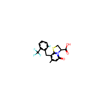 Cc1cc(=O)n2c(c1Cc1c(F)cccc1C(F)(F)F)SCC2C(=O)O